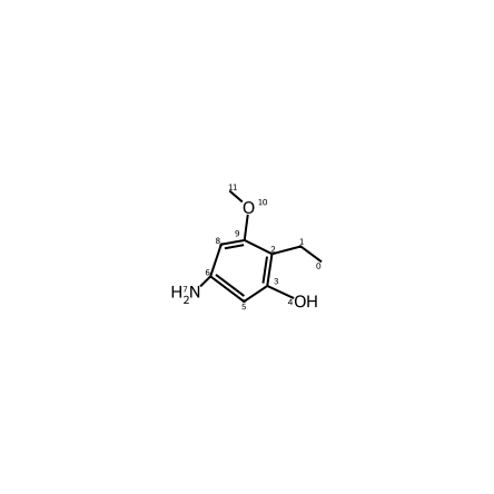 CCc1c(O)cc(N)cc1OC